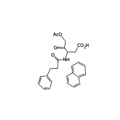 CC(=O)OCC(=O)C(CC(=O)O)NC(=O)CCc1ccccc1.c1ccc2ccccc2c1